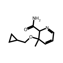 CC1(OCC2CC2)C=CC=NC1C(N)=O